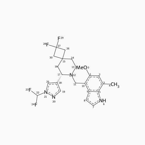 COc1cc(C)c2[nH]ccc2c1CN1CCC2(C[C@H]1c1cnn(C(F)F)c1)CC(F)(F)C2